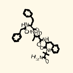 CC(NC(=O)C(Cc1ccccc1)NC(=O)Cc1ccccc1)C(=O)C(=O)NC(Cc1ccccc1)C(=O)NC(C)(C)C(N)=O